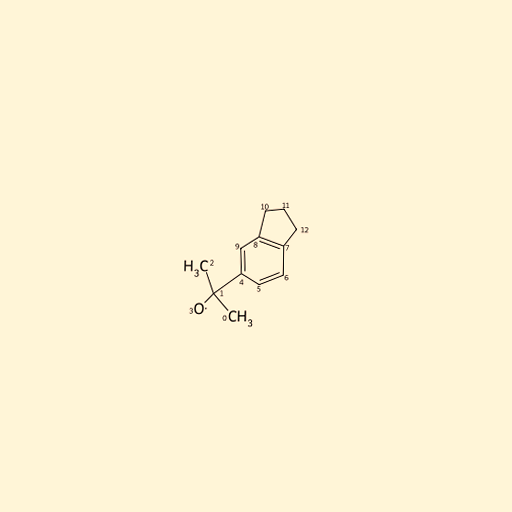 CC(C)([O])c1ccc2c(c1)CCC2